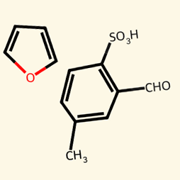 Cc1ccc(S(=O)(=O)O)c(C=O)c1.c1ccoc1